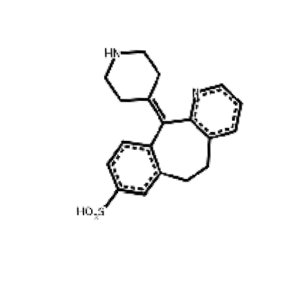 O=S(=O)(O)c1ccc2c(c1)CCc1cccnc1C2=C1CCNCC1